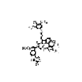 Cc1cc(OCCCc2c3n(c4c(-c5c(C)nn(C)c5C)c(Cl)ccc24)C(C)CN(c2cn(C)c4ccc(-c5noc(=O)[nH]5)cc24)C3=O)cc(C)c1Cl